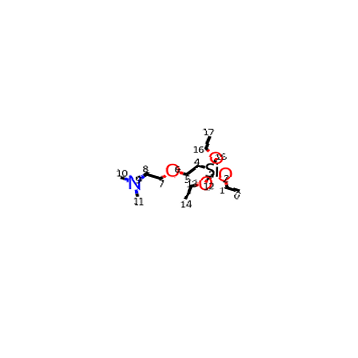 CCO[Si](CCOCCN(C)C)(OCC)OCC